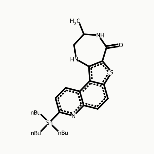 CCC[CH2][Sn]([CH2]CCC)([CH2]CCC)[c]1ccc2c(ccc3sc4c(c32)NCC(C)NC4=O)n1